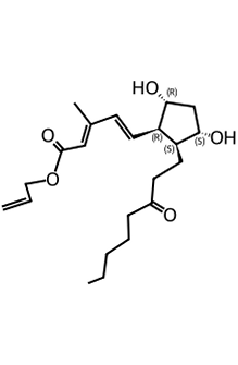 C=CCOC(=O)C=C(C)C=C[C@@H]1[C@H](CCC(=O)CCCCC)[C@@H](O)C[C@H]1O